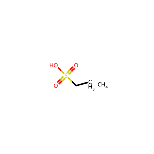 C.CCS(=O)(=O)O